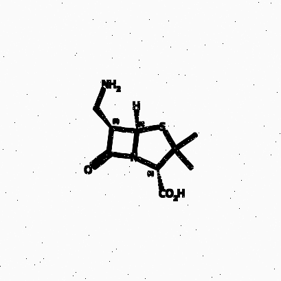 CC1(C)S[C@@H]2[C@H](CN)C(=O)N2[C@H]1C(=O)O